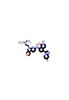 CN(C)CCN1CC2(CCOC2)c2ccc(Nc3ccc(-c4cnc5cc(F)ccn45)c4cc[nH]c(=O)c34)nc21